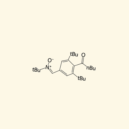 CCCCC(=O)c1c(C(C)(C)C)cc(C=[N+]([O-])C(C)(C)C)cc1C(C)(C)C